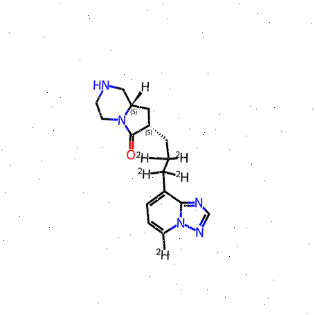 [2H]c1ccc(C([2H])([2H])C([2H])([2H])C[C@H]2C[C@H]3CNCCN3C2=O)c2ncnn12